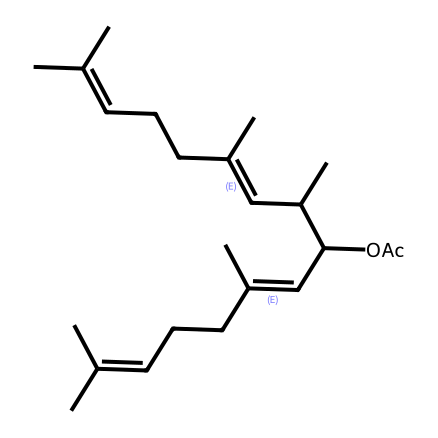 CC(=O)OC(/C=C(\C)CCC=C(C)C)C(C)/C=C(\C)CCC=C(C)C